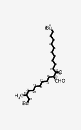 CCC(C)CCCCCCCCCCC(=O)C([C]=O)CCCCCCCC(C)CC(C)CC